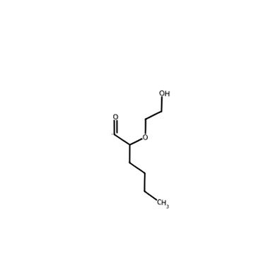 CCCCC([C]=O)OCCO